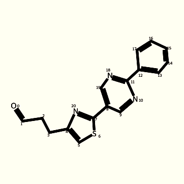 O=CCCc1csc(-c2cnc(-c3ccccc3)nc2)n1